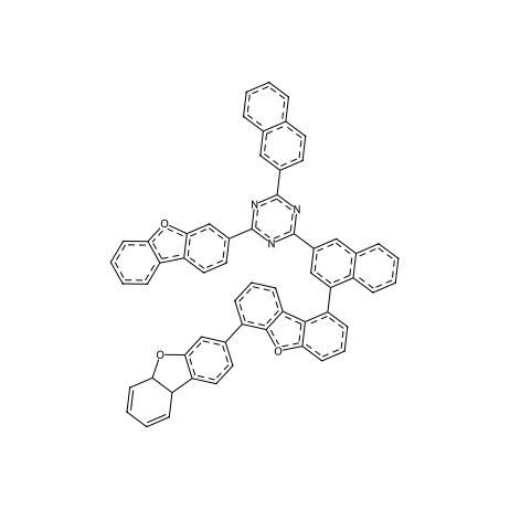 C1=CC2Oc3cc(-c4cccc5c4oc4cccc(-c6cc(-c7nc(-c8ccc9ccccc9c8)nc(-c8ccc9c(c8)oc8ccccc89)n7)cc7ccccc67)c45)ccc3C2C=C1